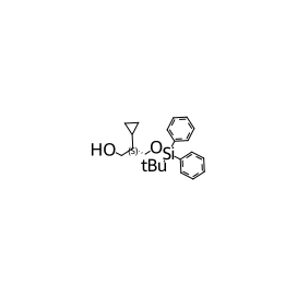 CC(C)(C)[Si](OC[C@H](CO)C1CC1)(c1ccccc1)c1ccccc1